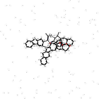 CC/C(C)=C(\N=C(\c1ccc2ccccc2c1)C(CC)C(C)c1ccc2ccccc2c1)c1cc2sc3ccccc3c2cc1-n1c2cc3ccccc3cc2c2cc3ccccc3cc21